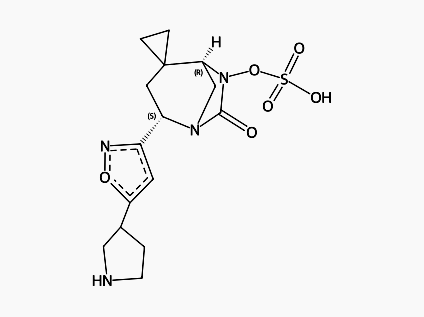 O=C1N2C[C@H](N1OS(=O)(=O)O)C1(CC1)C[C@H]2c1cc(C2CCNC2)on1